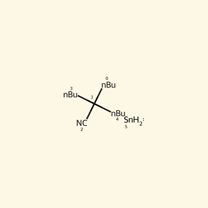 CCCCC(C#N)(CCCC)CCCC.[SnH2]